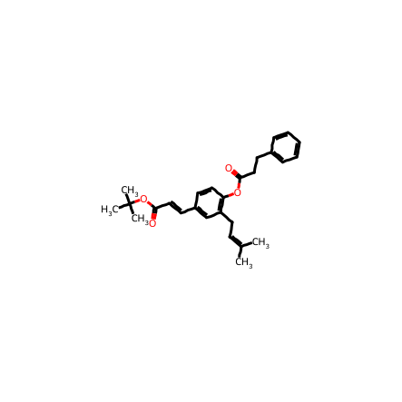 CC(C)=CCc1cc(/C=C/C(=O)OC(C)(C)C)ccc1OC(=O)CCc1ccccc1